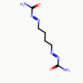 NC(=O)N=NCCCCN=NC(N)=O